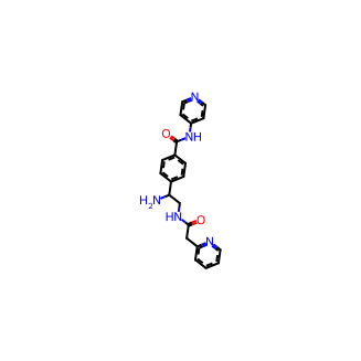 NC(CNC(=O)Cc1ccccn1)c1ccc(C(=O)Nc2ccncc2)cc1